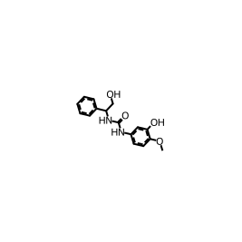 COc1ccc(NC(=O)NC(CO)c2ccccc2)cc1O